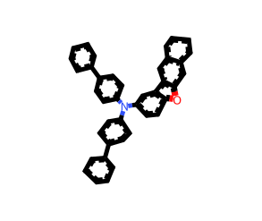 c1ccc(-c2ccc(N(c3ccc(-c4ccccc4)cc3)c3ccc4oc5cc6ccccc6cc5c4c3)cc2)cc1